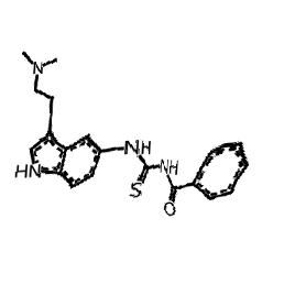 CN(C)CCc1c[nH]c2ccc(NC(=S)NC(=O)c3ccccc3)cc12